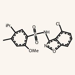 COc1cc(C)c(C(C)C)cc1S(=O)(=O)Nc1noc2cccc(Cl)c12